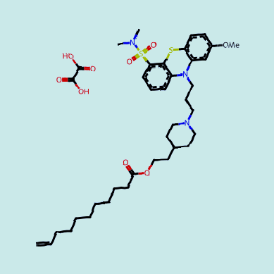 C=CCCCCCCCCC(=O)OCCC1CCN(CCCN2c3cc(OC)ccc3Sc3c2cccc3S(=O)(=O)N(C)C)CC1.O=C(O)C(=O)O